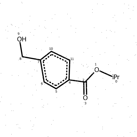 CC(C)OC(=O)c1ccc(CO)cc1